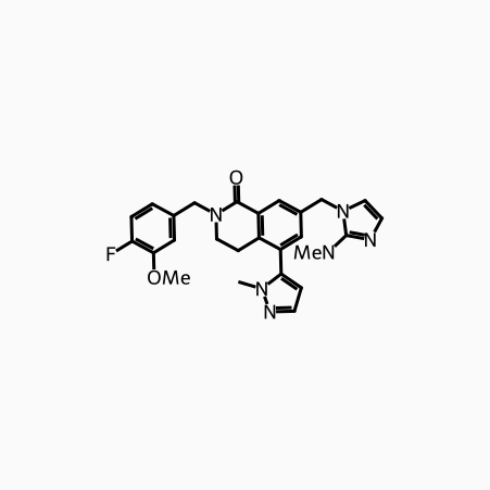 CNc1nccn1Cc1cc2c(c(-c3ccnn3C)c1)CCN(Cc1ccc(F)c(OC)c1)C2=O